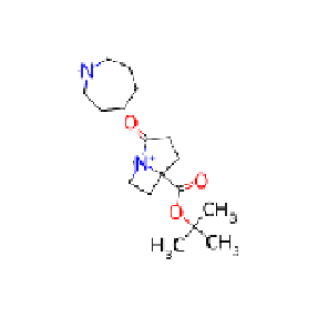 C1CCC[N]CC1.CC(C)(C)OC(=O)C12CCC(=O)[N+]1CC2